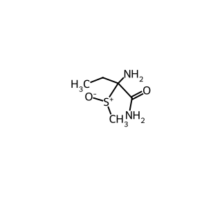 CCC(N)(C(N)=O)[S+](C)[O-]